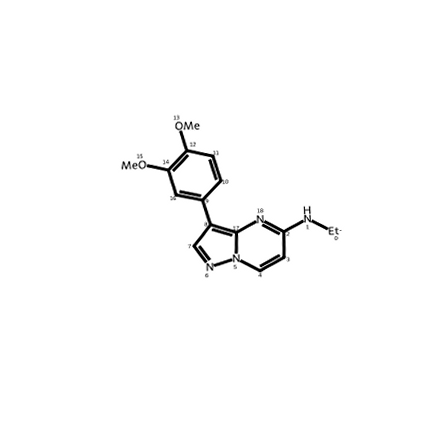 [CH2][CH]Nc1ccn2ncc(-c3ccc(OC)c(OC)c3)c2n1